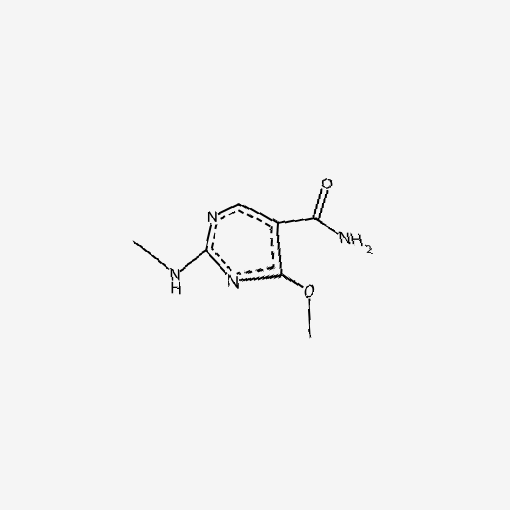 CNc1ncc(C(N)=O)c(OC)n1